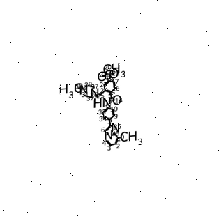 Cc1cccn2cc(-c3ccc(NC(=O)c4ccc(S(C)(=O)=O)cc4CN4CCN(C)CC4)cc3)nc12